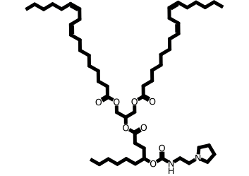 CCCCC/C=C\C/C=C\CCCCCCCC(=O)OCC(COC(=O)CCCCCCC/C=C\C/C=C\CCCCC)OC(=O)CCC(CCCCCC)OC(=O)NCCN1CCCC1